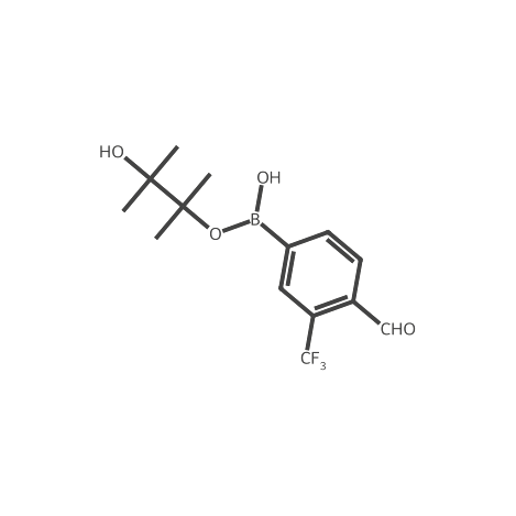 CC(C)(O)C(C)(C)OB(O)c1ccc(C=O)c(C(F)(F)F)c1